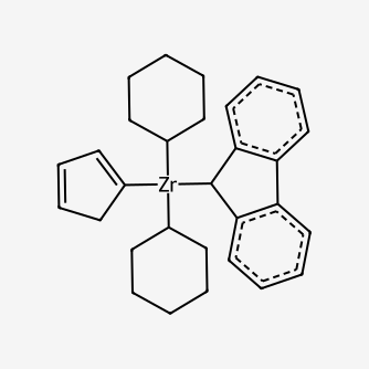 C1=CC[C]([Zr]([CH]2CCCCC2)([CH]2CCCCC2)[CH]2c3ccccc3-c3ccccc32)=C1